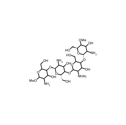 COC1OC(CO)C(O[C@@H]2O[C@@H](CO)C(OC3OC(CO)C(O[C@@H]4O[C@@H](CO)C(OC)C(O)C4N)C(O)C3NC(C)=O)C(O)C2N)C(O)C1N